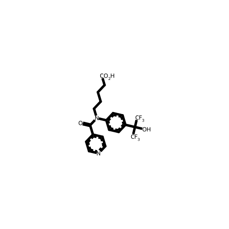 O=C(O)CCCCN(C(=O)c1ccncc1)c1ccc(C(O)(C(F)(F)F)C(F)(F)F)cc1